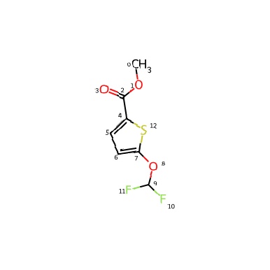 COC(=O)c1ccc(OC(F)F)s1